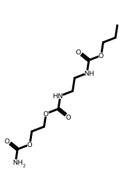 CCCOC(=O)NCCNC(=O)OCCOC(N)=O